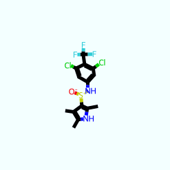 Cc1[nH]c(C)c([S+]([O-])Nc2cc(Cl)c(C(F)(F)F)c(Cl)c2)c1C